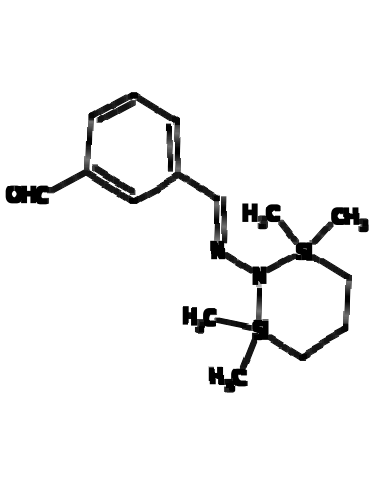 C[Si]1(C)CCC[Si](C)(C)N1N=Cc1cccc(C=O)c1